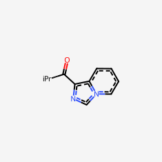 CC(C)C(=O)c1ncn2ccccc12